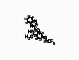 CC(NC(=O)c1cnc2ccccc2n1)c1ccc(OCC(F)(F)F)cn1